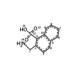 NCc1ccc2ccccc2c1S(=O)(=O)O